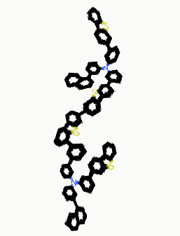 c1cc(-c2cccc(N(c3cccc(-c4ccc5c(c4)sc4ccccc45)c3)c3cccc(-c4cccc5ccccc45)c3)c2)cc(-c2cccc3c2sc2cc(-c4ccc5c(c4)sc4cc(-c6cccc(N(c7cccc(-c8ccc9c(c8)sc8ccccc89)c7)c7cccc(-c8cccc9ccccc89)c7)c6)ccc45)ccc23)c1